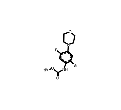 CC(C)(C)OC(=O)Nc1cc(F)c(N2CCOCC2)cc1Br